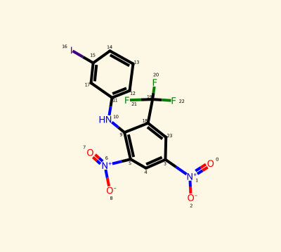 O=[N+]([O-])c1cc([N+](=O)[O-])c(Nc2cccc(I)c2)c(C(F)(F)F)c1